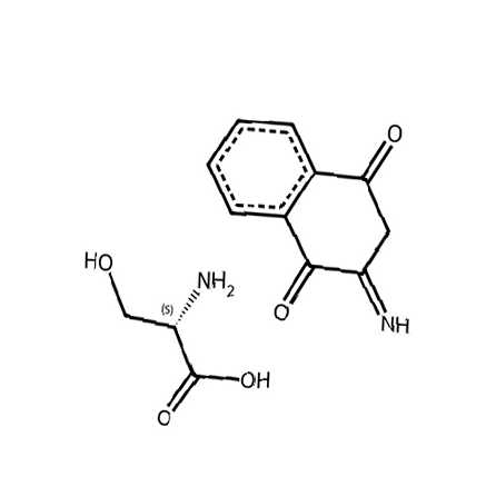 N=C1CC(=O)c2ccccc2C1=O.N[C@@H](CO)C(=O)O